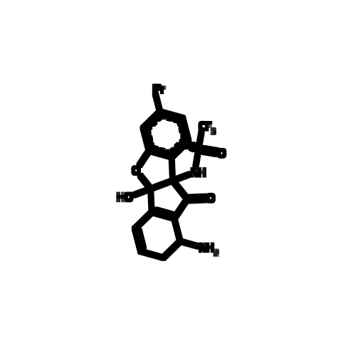 CC(C)c1ccc2c(c1)OC1(O)C3=C(C(=O)C21NS(=O)(=O)C(F)(F)F)C(N)CC=C3